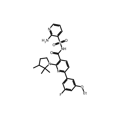 CCOc1cc(F)cc(-c2ccc(C(=O)NS(=O)(=O)c3cccnc3N)c(N3CCC(C)C3(C)C)n2)c1